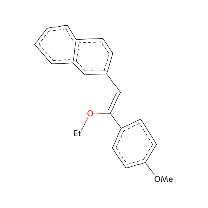 CCOC(=Cc1ccc2ccccc2c1)c1ccc(OC)cc1